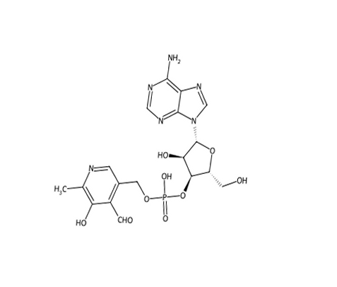 Cc1ncc(COP(=O)(O)O[C@H]2[C@@H](O)[C@H](n3cnc4c(N)ncnc43)O[C@@H]2CO)c(C=O)c1O